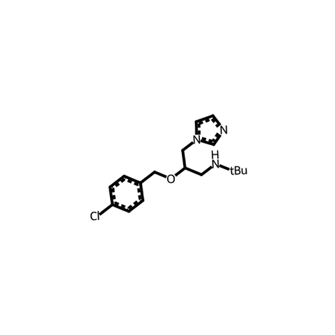 CC(C)(C)NCC(Cn1ccnc1)OCc1ccc(Cl)cc1